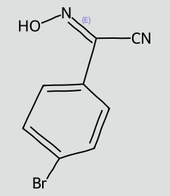 N#C/C(=N/O)c1ccc(Br)cc1